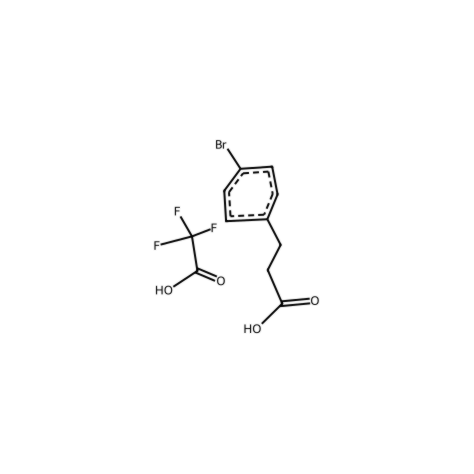 O=C(O)C(F)(F)F.O=C(O)CCc1ccc(Br)cc1